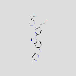 Cc1ccc(Nc2ccc3c(c2)ncn3-c2ccc(CCO)c(N3CC[C@@]4(C3)CC4(F)F)n2)nn1